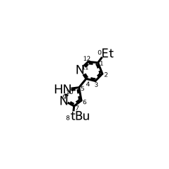 CCc1ccc(-c2cc(C(C)(C)C)n[nH]2)nc1